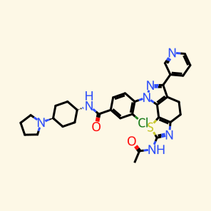 CC(=O)Nc1nc2c(s1)-c1c(c(-c3cccnc3)nn1-c1ccc(C(=O)N[C@H]3CC[C@H](N4CCCC4)CC3)cc1Cl)CC2